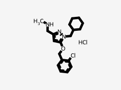 CNCc1cc(OCc2ccccc2Cl)n(CC2CCCCC2)n1.Cl